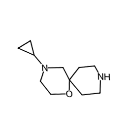 C1CC2(CCN1)CN(C1CC1)CCO2